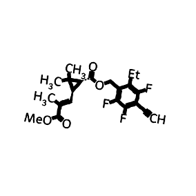 C#Cc1c(F)c(F)c(COC(=O)[C@@H]2[C@@H](/C=C(\C)C(=O)OC)C2(C)C)c(CC)c1F